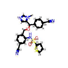 Cn1cncc1C(OCc1ccc(C#N)cc1NS(=O)(=O)c1cccs1)c1ccc(C#N)cc1